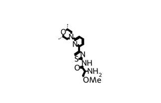 COC[C@H](N)C(=O)Nc1nc(-c2cccc(N3C[C@@H](C)O[C@@H](C)C3)n2)cs1